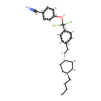 CCCC[C@H]1CC[C@H](CCc2ccc(C(F)(F)Oc3ccc(C#N)cc3)cc2)CC1